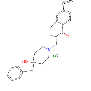 CC(=O)Nc1ccc2c(c1)CCC(CN1CCC(O)(Cc3ccccc3)CC1)C2=O.Cl